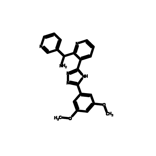 COc1cc(OC)cc(-c2nnc(-c3cccnc3C(N)c3cccnc3)[nH]2)c1